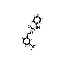 CC(C)c1cccc(COC(=O)Nc2ccccc2)c1